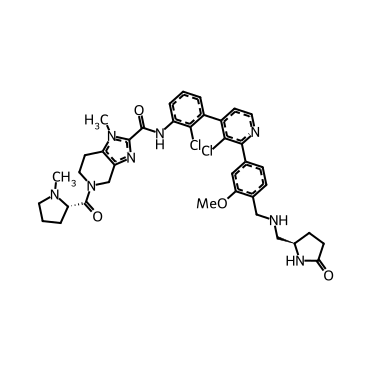 COc1cc(-c2nccc(-c3cccc(NC(=O)c4nc5c(n4C)CCN(C(=O)[C@@H]4CCCN4C)C5)c3Cl)c2Cl)ccc1CNC[C@H]1CCC(=O)N1